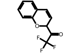 O=C(C1C=Cc2ccccc2O1)C(F)(F)F